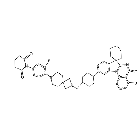 O=C1CCCC(=O)N1c1ccc(N2CCC3(CC2)CN(CC2CCC(c4ccc5c(c4)-n4c(nc(=O)c6c(Br)cccc64)C54CCCCC4)CC2)C3)c(F)c1